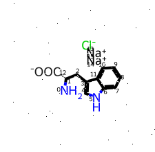 N[C@@H](Cc1c[nH]c2ccccc12)C(=O)[O-].[Cl-].[Na+].[Na+]